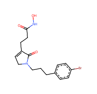 O=C(CCC1=CCN(CCCc2ccc(Br)cc2)C1=O)NO